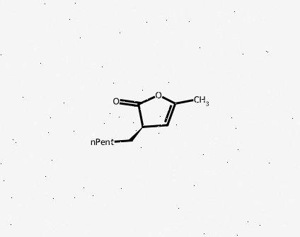 CCCCCC[C@@H]1C=C(C)OC1=O